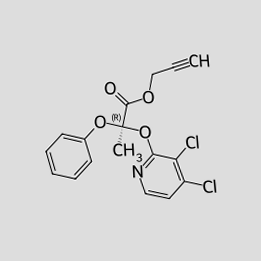 C#CCOC(=O)[C@](C)(Oc1ccccc1)Oc1nccc(Cl)c1Cl